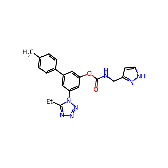 CCc1nnnn1-c1cc(OC(=O)NCc2cc[nH]n2)cc(-c2ccc(C)cc2)c1